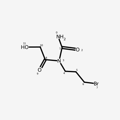 NC(=O)N(CCCBr)C(=O)CO